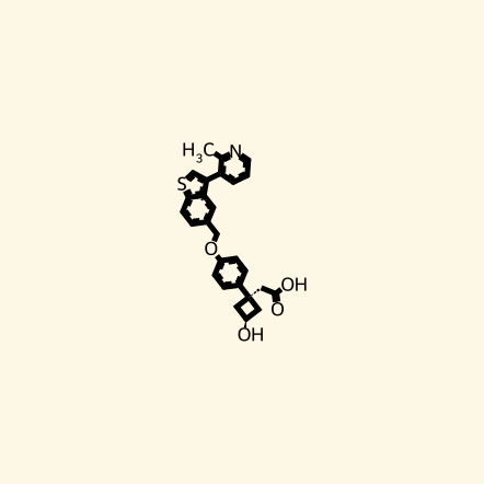 Cc1ncccc1-c1csc2ccc(COc3ccc([C@]4(CC(=O)O)C[C@@H](O)C4)cc3)cc12